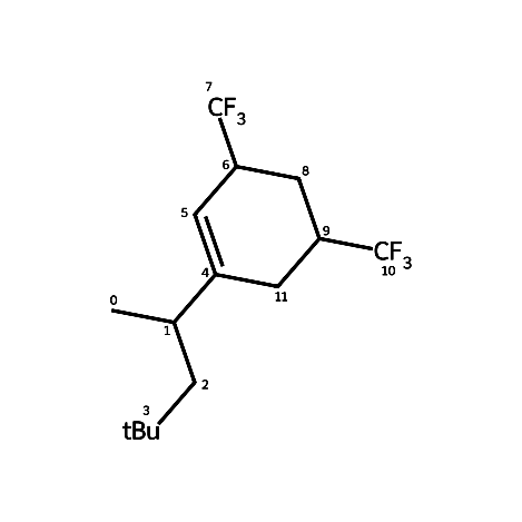 CC(CC(C)(C)C)C1=CC(C(F)(F)F)CC(C(F)(F)F)C1